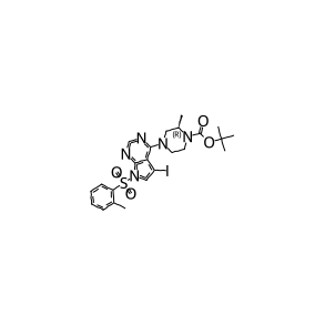 Cc1ccccc1S(=O)(=O)n1cc(I)c2c(N3CCN(C(=O)OC(C)(C)C)[C@H](C)C3)ncnc21